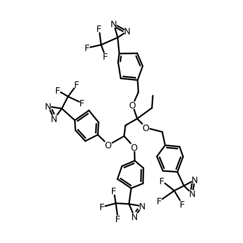 CCC(CC(Oc1ccc(C2(C(F)(F)F)N=N2)cc1)Oc1ccc(C2(C(F)(F)F)N=N2)cc1)(OCc1ccc(C2(C(F)(F)F)N=N2)cc1)OCc1ccc(C2(C(F)(F)F)N=N2)cc1